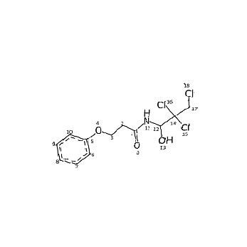 O=C(CCOc1ccccc1)NC(O)C(Cl)(Cl)CCl